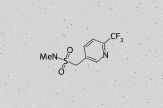 CNS(=O)(=O)Cc1ccc(C(F)(F)F)nc1